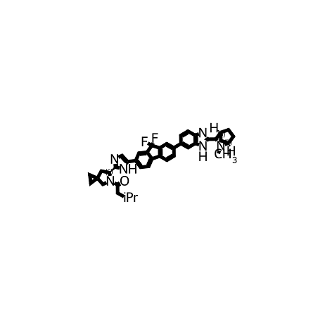 CC(C)CC(=O)N1CC2(CC2)C[C@H]1c1ncc(-c2ccc3c(c2)C(F)(F)c2cc(-c4ccc5nc(C6[C@H]7CC[C@H](C7)N6C)[nH]c5c4)ccc2-3)[nH]1